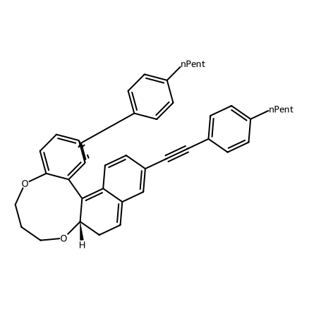 CCCCCc1ccc(C#Cc2ccc3c(c2)=CC[C@@H]2OCCCOc4ccc5cc(-c6ccc(CCCCC)cc6)ccc5c4C=32)cc1